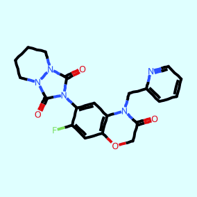 O=C1COc2cc(F)c(-n3c(=O)n4n(c3=O)CCCC4)cc2N1Cc1ccccn1